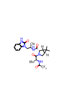 CC(C)(C)[C@H](NC(=O)C(F)(F)F)C(=O)N1C[C@H]2[C@H]([C@H]1C(=O)N[C@H](C#N)Cn1c(=O)[nH]c3ccccc31)C2(C)C